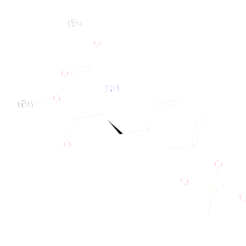 CC(C)(C)OC(=O)N[C@@H](Cc1cccc(OS(C)(=O)=O)c1)C(=O)OC(C)(C)C